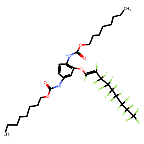 CCCCCCCCOC(=O)Nc1ccc(NC(=O)OCCCCCCCC)c(OC(F)=C(F)C(F)(F)C(F)(F)C(F)(F)C(F)(F)C(F)(F)C(F)(F)C(F)(F)F)c1